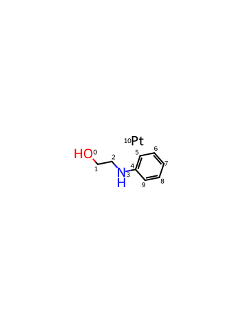 OCCNc1ccccc1.[Pt]